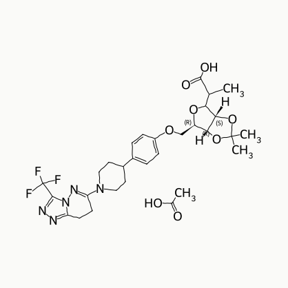 CC(=O)O.CC(C(=O)O)C1O[C@H](COc2ccc(C3CCN(C4=Nn5c(nnc5C(F)(F)F)CC4)CC3)cc2)[C@H]2OC(C)(C)O[C@@H]12